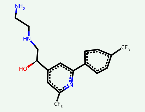 NCCNC[C@H](O)c1cc(-c2ccc(C(F)(F)F)cc2)nc(C(F)(F)F)c1